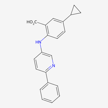 O=C(O)c1cc(C2CC2)ccc1Nc1ccc(-c2ccccc2)nc1